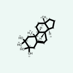 C[C@@]12CCC[C@H]1[C@@H]1CC=C3CC(O)(O)C(O)(O)C[C@]3(C)[C@H]1CC2